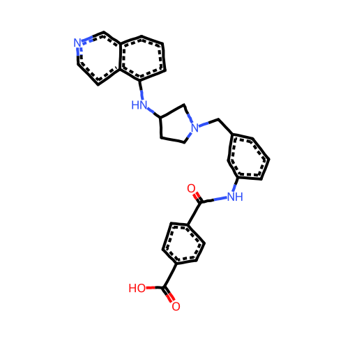 O=C(O)c1ccc(C(=O)Nc2cccc(CN3CCC(Nc4cccc5cnccc45)C3)c2)cc1